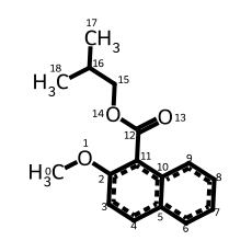 COc1ccc2ccccc2c1C(=O)OCC(C)C